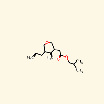 C=CCC1COC[C@@H](CC(=O)OCC(C)C)C1=C